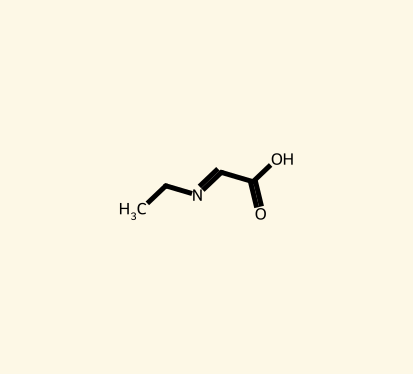 CCN=CC(=O)O